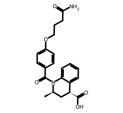 C[C@@H]1C[C@@H](C(=O)O)c2ccccc2N1C(=O)c1ccc(OCCCC(N)=O)cc1